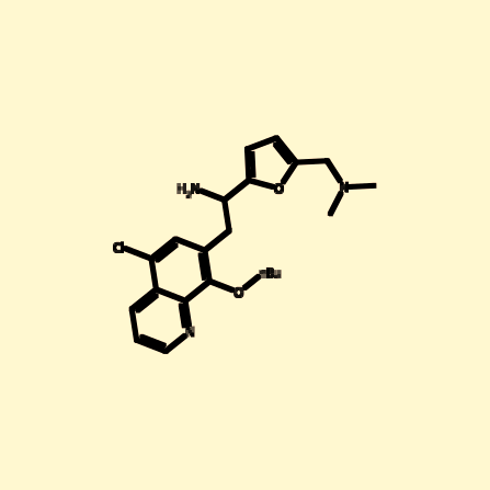 CCCCOc1c(CC(N)c2ccc(CN(C)C)o2)cc(Cl)c2cccnc12